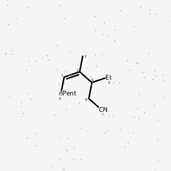 CCCCCC=C(C)C(CC)CC#N